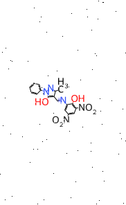 Cc1nn(-c2ccccc2)c(O)c1/C=N/c1cc([N+](=O)[O-])cc([N+](=O)[O-])c1O